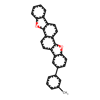 Cc1cccc(-c2ccc3oc4c(ccc5c4ccc4c6ccccc6oc45)c3c2)c1